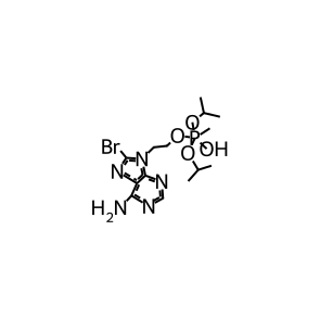 CC(C)OP(C)(O)(OCCn1c(Br)nc2c(N)ncnc21)OC(C)C